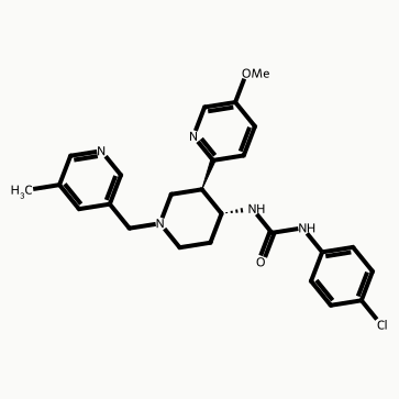 COc1ccc([C@@H]2CN(Cc3cncc(C)c3)CC[C@H]2NC(=O)Nc2ccc(Cl)cc2)nc1